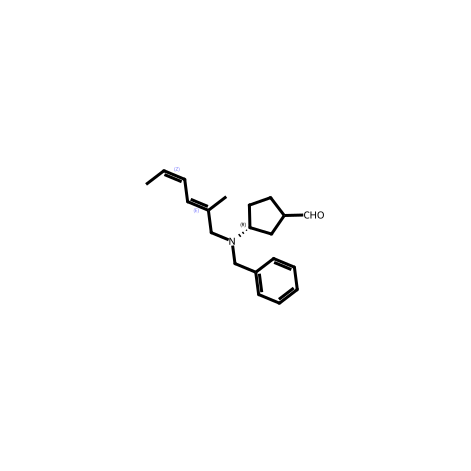 C/C=C\C=C(/C)CN(Cc1ccccc1)[C@@H]1CCC(C=O)C1